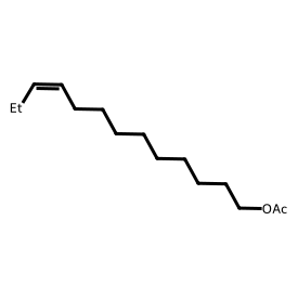 CC/C=C\CCCCCCCCCOC(C)=O